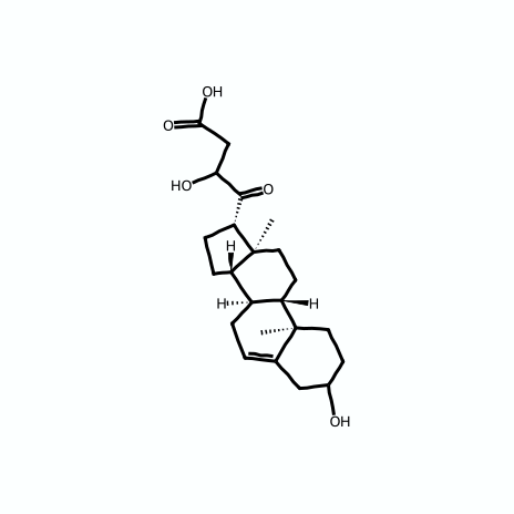 C[C@]12CC[C@H]3[C@@H](CC=C4CC(O)CC[C@@]43C)[C@@H]1CC[C@@H]2C(=O)C(O)CC(=O)O